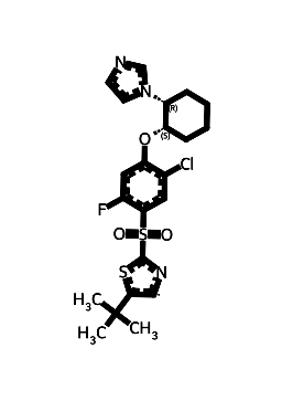 CC(C)(C)c1[c]nc(S(=O)(=O)c2cc(Cl)c(O[C@H]3CCCC[C@H]3n3ccnc3)cc2F)s1